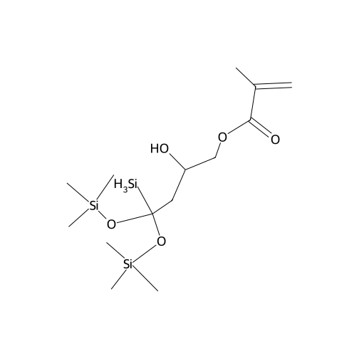 C=C(C)C(=O)OCC(O)CC([SiH3])(O[Si](C)(C)C)O[Si](C)(C)C